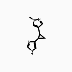 Cn1cc(C2CC2c2c[nH]cn2)cn1